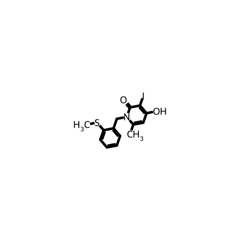 CSc1ccccc1Cn1c(C)cc(O)c(I)c1=O